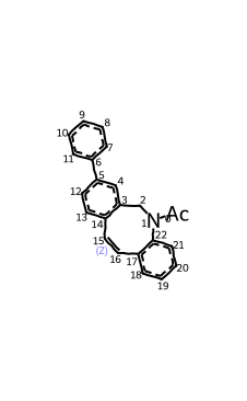 CC(=O)N1Cc2cc(-c3ccccc3)ccc2/C=C\c2ccccc21